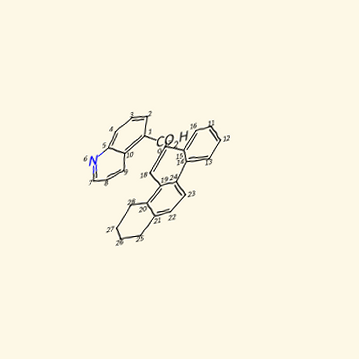 O=C(O)c1cccc2ncccc12.c1ccc2c(c1)ccc1c3c(ccc12)CCCC3